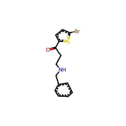 O=C(CCNCc1ccccc1)c1ccc(Br)s1